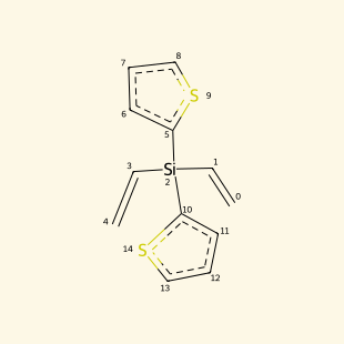 C=C[Si](C=C)(c1cccs1)c1cccs1